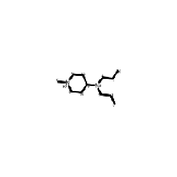 CCCN(CCC)C1CCN(C)CC1